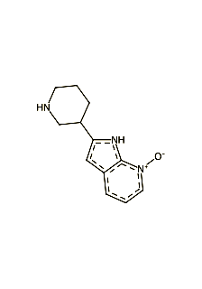 [O-][n+]1cccc2cc(C3CCCNC3)[nH]c21